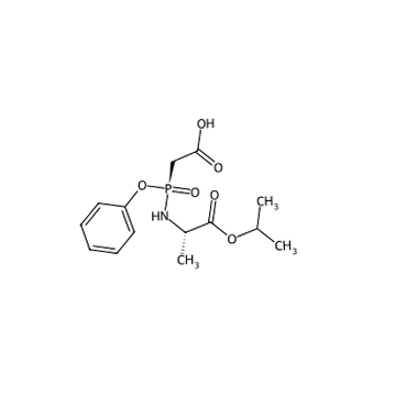 CC(C)OC(=O)[C@H](C)N[P@](=O)(CC(=O)O)Oc1ccccc1